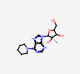 C[C@@]1(O)C(O)C(CO)OC1n1cnc2c(N3CCCCC3)ncnc21